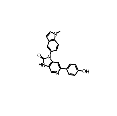 Cn1ccc2cc(-n3c(=O)[nH]c4cnc(-c5ccc(O)cc5)cc43)ccc21